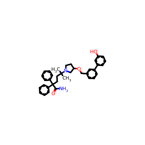 CC(C)(CCC(C(N)=O)(c1ccccc1)c1ccccc1)N1CCC(OCc2cccc(-c3cccc(O)c3)c2)C1